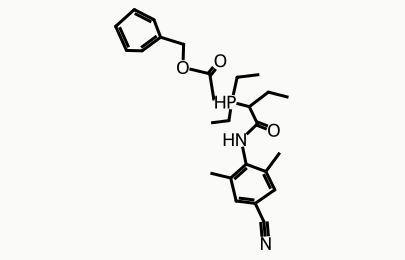 CCC(C(=O)Nc1c(C)cc(C#N)cc1C)[PH](CC)(CC)CC(=O)OCc1ccccc1